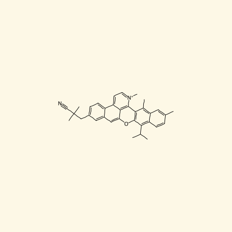 Cc1ccc2c(C(C)C)c3c(c(C)c2c1)-c1c2c(cc4cc(CC(C)(C)C#N)ccc4c2cc[n+]1C)O3